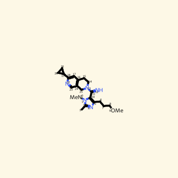 CNn1c(C)nc(CCCOC)c1C(=N)N1CCc2cc(C3CC3)ncc2C1